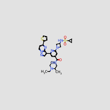 CCN(CC)C(C)CNC(=O)c1cc(-c2cnn3ccc(-c4cccs4)nc23)nc(N2CC(NS(=O)(=O)C3CC3)C2)c1